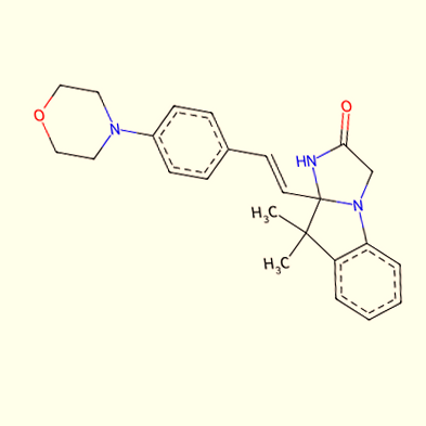 CC1(C)c2ccccc2N2CC(=O)NC21C=Cc1ccc(N2CCOCC2)cc1